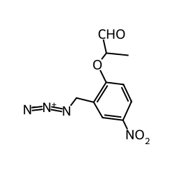 CC(C=O)Oc1ccc([N+](=O)[O-])cc1CN=[N+]=[N-]